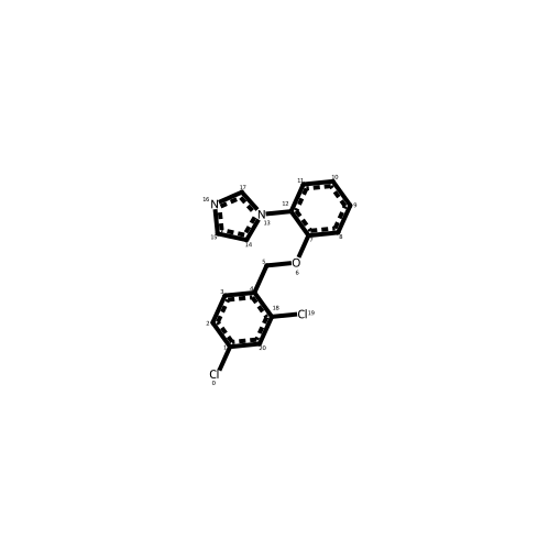 Clc1ccc(COc2ccccc2-n2ccnc2)c(Cl)c1